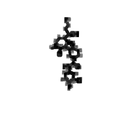 CN1CCC(C(O)CCF)n2nc3c(c2C1=O)CN(C(=O)Nc1ccc(F)c(Cl)c1)CC3